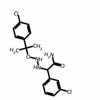 CC(C)(ONNC(C(N)=O)c1cccc(Cl)c1)c1ccc(Cl)cc1